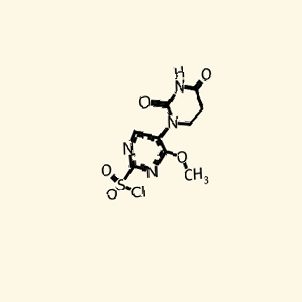 COc1nc(S(=O)(=O)Cl)ncc1N1CCC(=O)NC1=O